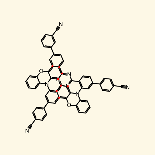 N#Cc1ccc(-c2ccc(-c3nc(-c4ccc(-c5cccc(C#N)c5)cc4)nc(-c4ccc(-c5ccc(C#N)cc5)cc4N4c5ccccc5Oc5ccccc54)n3)c(N3c4ccccc4Oc4ccccc43)c2)cc1